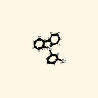 Brc1cccc(-n2c3c(c4ccccc42)C=CCC3)c1